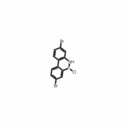 ClP1Nc2cc(Br)ccc2-c2ccc(Br)cc21